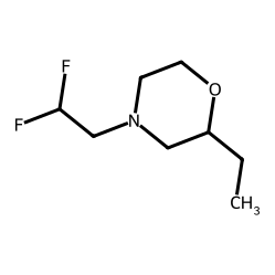 CCC1CN(CC(F)F)CCO1